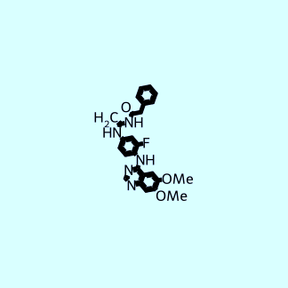 C=C(NC(=O)Cc1ccccc1)Nc1ccc(Nc2ncnc3cc(OC)c(OC)cc23)c(F)c1